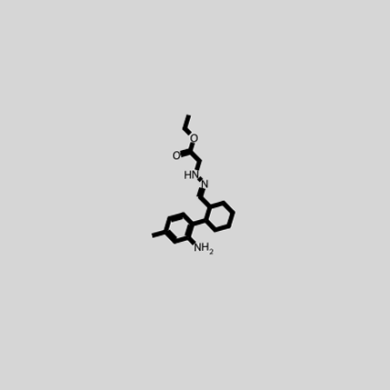 CCOC(=O)CNN=CC1CCCCC1c1ccc(C)cc1N